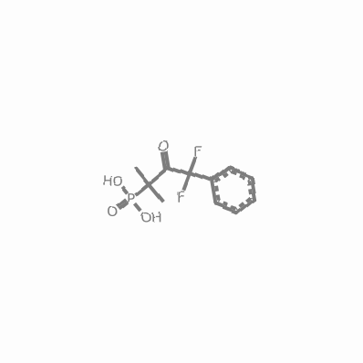 CC(C)(C(=O)C(F)(F)c1ccccc1)P(=O)(O)O